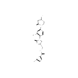 COc1cc(N2CCC(O)CC2=O)ccc1N1CC(CNC(=O)c2ccc(Cl)s2)OC1=O